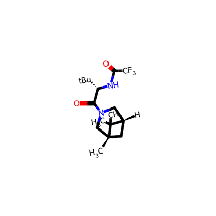 CC(C)(C)[C@H](NC(=O)C(F)(F)F)C(=O)N1C[C@@H]2C[C@](C)(C1)C2(C)C